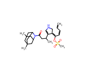 C=C/C=C\C(OS(C)(=O)=O)=C1/CNC=C1C(C)CC(=O)N1C2CC3(C)CC1CC(C)(C2)C3